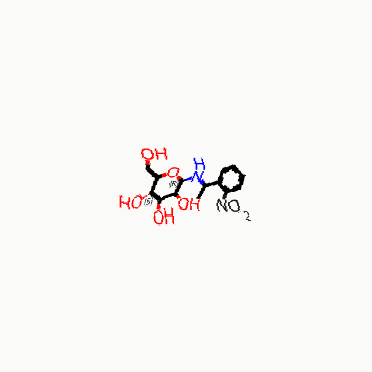 CC(N[C@@H]1OC(CO)[C@@H](O)C(O)C1O)c1ccccc1[N+](=O)[O-]